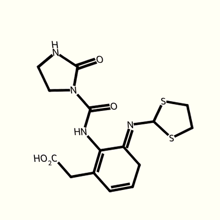 O=C(O)CC1=C(NC(=O)N2CCNC2=O)C(=NC2SCCS2)CC=C1